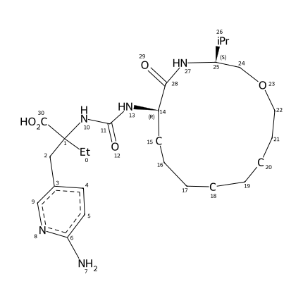 CCC(Cc1ccc(N)nc1)(NC(=O)N[C@@H]1CCCCCCCCOC[C@H](C(C)C)NC1=O)C(=O)O